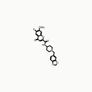 COc1cc2oc(C(=O)NC3CCN(Cc4ccc5c(c4)OCO5)CC3)cc(=O)c2cc1F